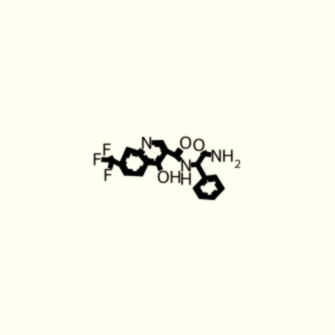 NC(=O)C(NC(=O)c1cnc2cc(C(F)(F)F)ccc2c1O)c1ccccc1